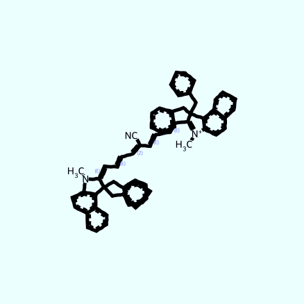 CN1/C(=C/C=C/C=C(C#N)/C=C/C=C/C2=[N+](C)c3ccc4ccccc4c3C2(Cc2ccccc2)Cc2ccccc2)C(Cc2ccccc2)(Cc2ccccc2)c2c1ccc1ccccc21